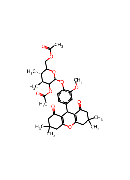 COc1cc(C2C3=C(CC(C)(C)CC3=O)OC3=C2C(=O)CC(C)(C)C3)ccc1O[C@@H]1OC(COC(C)=O)[C@@H](C)[C@H](C)C1OC(C)=O